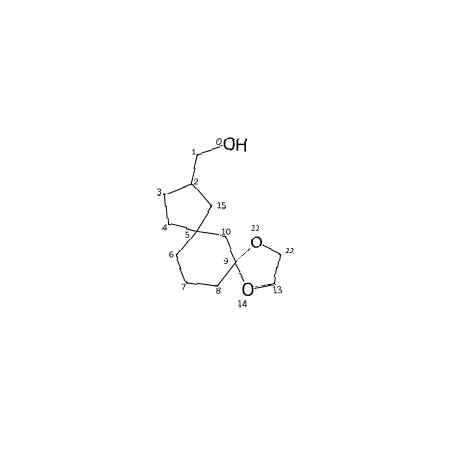 OCC1CCC2(CCCC3(C2)OCCO3)C1